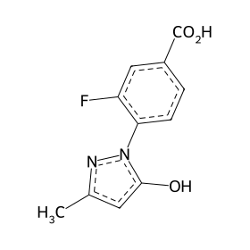 Cc1cc(O)n(-c2ccc(C(=O)O)cc2F)n1